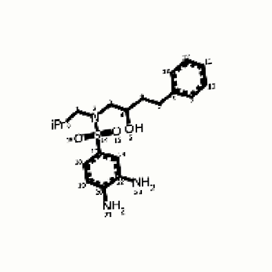 CC(C)CN(CC(O)[CH]Cc1ccccc1)S(=O)(=O)c1ccc(N)c(N)c1